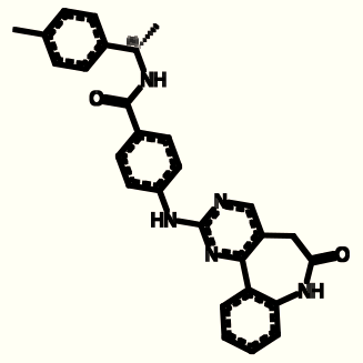 Cc1ccc([C@H](C)NC(=O)c2ccc(Nc3ncc4c(n3)-c3ccccc3NC(=O)C4)cc2)cc1